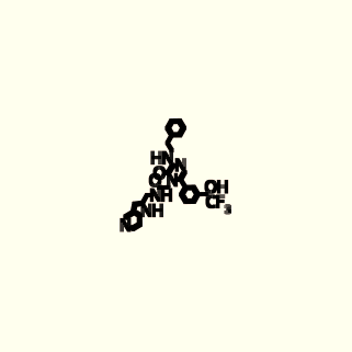 O=C(Cn1c(-c2cccc(C(O)C(F)(F)F)c2)cnc(NCCc2ccccc2)c1=O)NCc1cc2cnccc2[nH]1